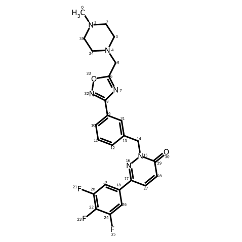 CN1CCN(Cc2nc(-c3cccc(Cn4nc(-c5cc(F)c(F)c(F)c5)ccc4=O)c3)no2)CC1